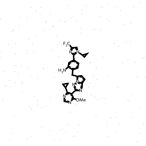 COc1ncnc(C2CC2)c1-c1ncc2ccc(Cc3ccc(-c4nc(C(F)(F)F)cn4C4CC4)cc3N)n2n1